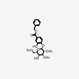 CC(=O)OC[C@H]1O[C@@H](Oc2ccc(C(=O)OCc3ccccc3)cc2O)[C@H](OC(C)=O)[C@@H](OC(C)=O)[C@H]1O